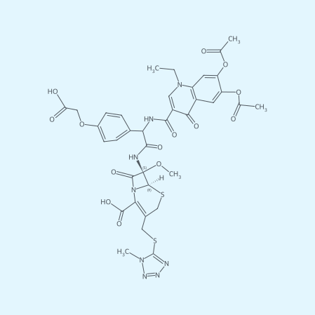 CCn1cc(C(=O)NC(C(=O)N[C@]2(OC)C(=O)N3C(C(=O)O)=C(CSc4nnnn4C)CS[C@@H]32)c2ccc(OCC(=O)O)cc2)c(=O)c2cc(OC(C)=O)c(OC(C)=O)cc21